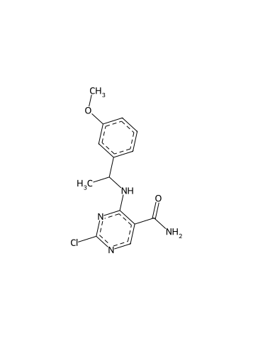 COc1cccc(C(C)Nc2nc(Cl)ncc2C(N)=O)c1